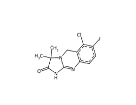 CC1(C)C(=O)NC2=Nc3ccc(I)c(Cl)c3CN21